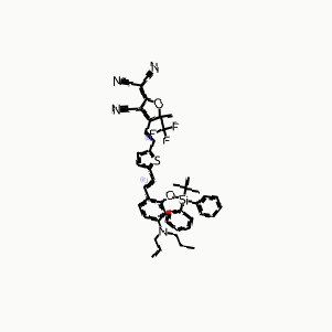 CCCN(CCC)c1ccc(/C=C/c2ccc(/C=C/C3=C(C#N)C(=C(C#N)C#N)OC3(C)C(F)(F)F)s2)c(O[Si](c2ccccc2)(c2ccccc2)C(C)(C)C)c1